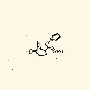 O=C1CCC(C(=O)On2cccc2)N1.[NaH]